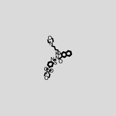 O=C(Nc1nc2ccc(S(=O)(=O)N3CCOCC3)cc2s1)c1cc2ccccc2cc1OCCCCN1CCOCC1